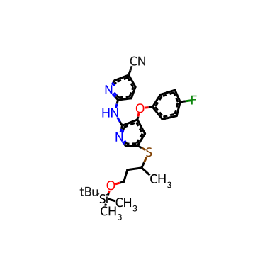 CC(CCO[Si](C)(C)C(C)(C)C)Sc1cnc(Nc2ccc(C#N)cn2)c(Oc2ccc(F)cc2)c1